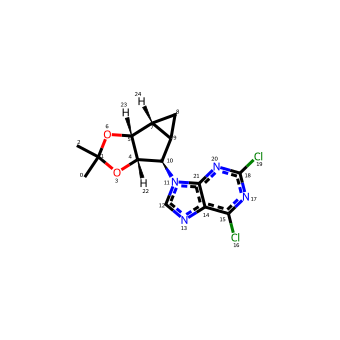 CC1(C)O[C@@H]2[C@H](O1)[C@@H]1CC1[C@H]2n1cnc2c(Cl)nc(Cl)nc21